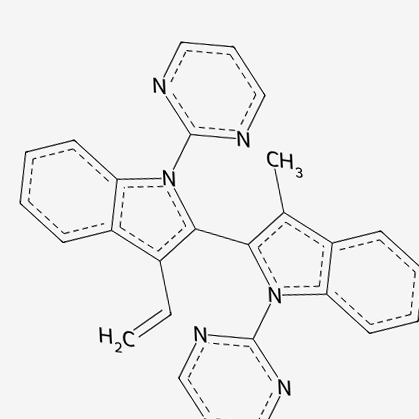 C=Cc1c(-c2c(C)c3ccccc3n2-c2ncncn2)n(-c2ncccn2)c2ccccc12